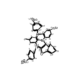 Cc1cc2c3c(c1)N(c1ccc(C(C)(C)C)cc1)c1oc4ccccc4c1B3c1ccc(C(C)(C)C)cc1N2c1ccc(C(C)(C)C)cc1